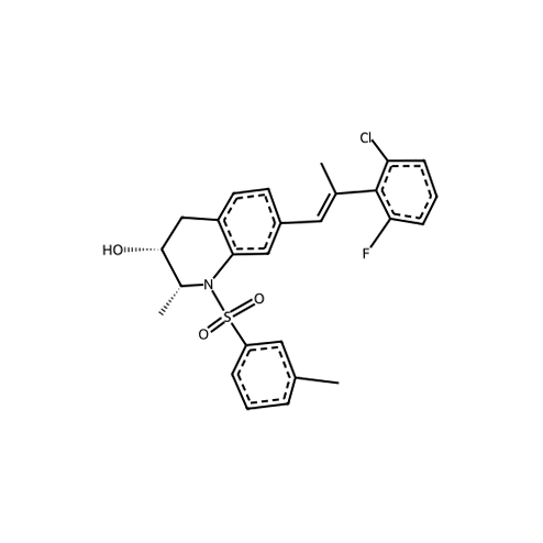 C/C(=C\c1ccc2c(c1)N(S(=O)(=O)c1cccc(C)c1)[C@H](C)[C@H](O)C2)c1c(F)cccc1Cl